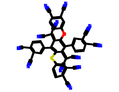 N#CC(C#N)=c1c(Oc2ccc(C#N)c(C#N)c2)c(-c2ccc(C#N)c(C#N)c2)c(=C(C#N)C#N)c(Sc2ccc(C#N)c(C#N)c2)c1-c1ccc(C#N)c(C#N)c1